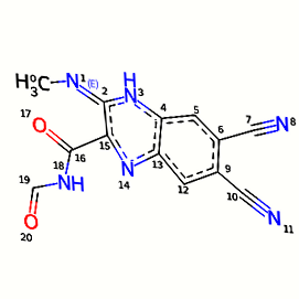 C/N=c1/[nH]c2cc(C#N)c(C#N)cc2nc1C(=O)NC=O